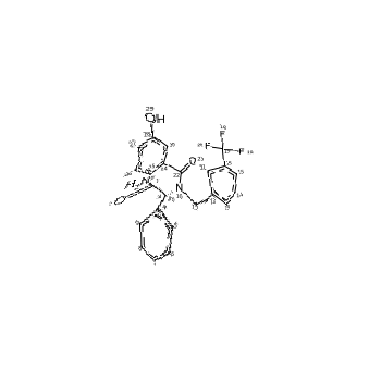 NC(=O)[C@@H](c1ccccc1)N(Cc1cccc(C(F)(F)F)c1)C(=O)c1cccc(O)c1